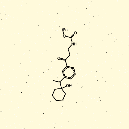 CN(c1cccc(C(=O)CCNC(=O)OC(C)(C)C)c1)C1(O)CCCCC1